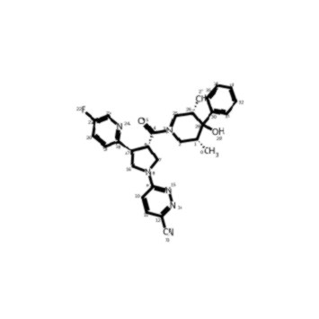 C[C@@H]1CN(C(=O)[C@@H]2CN(c3ccc(C#N)nn3)C[C@H]2c2ccc(F)cn2)C[C@H](C)C1(O)c1ccccc1